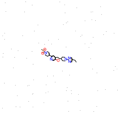 CCc1cnc(N2CCC(C3Cc4cc(C5=CCN(S(C)(=O)=O)CC5)ncc4O3)CC2)nc1